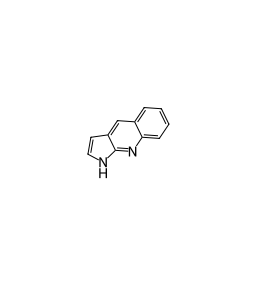 c1ccc2nc3[nH]ccc3cc2c1